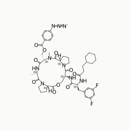 C[C@@H]1NC(=O)[C@H](COC(=O)c2ccc(N=[N+]=[N-])cc2)N(C)C(=O)[C@@H]2CCCN2C(=O)[C@@H](NC(=O)[C@H](Cc2cc(F)cc(F)c2)NC(=O)CCC2CCCCC2)COC(=O)[C@@H]2CCCN2C1=O